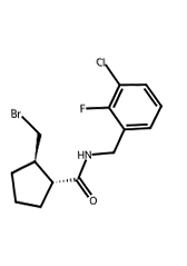 O=C(NCc1cccc(Cl)c1F)[C@@H]1CCC[C@H]1CBr